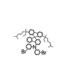 CCC(C)(CCCC(C)C)c1ccc2c(c1)C1(c3cc(C(C)(CC)CCCC(C)C)ccc3-2)c2ccccc2-c2c(N(c3cccc(Br)c3)c3cccc(Br)c3)cccc21